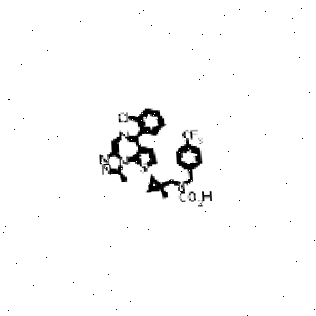 CC1(CN(Cc2ccc(C(F)(F)F)cc2)C(=O)O)CC1.CC1N=NC2=CN=C(c3ccccc3Cl)c3ccsc3N21